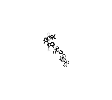 Cc1cnc(Nc2cc(C)n(C)n2)nc1-c1c[nH]c2c(NC(=O)CN3CCC(Oc4nccc(C(=O)N(C)C)n4)C3)cccc12